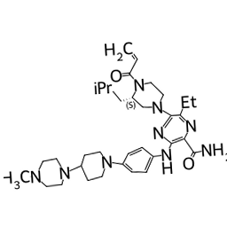 C=CC(=O)N1CCN(c2nc(Nc3ccc(N4CCC(N5CCN(C)CC5)CC4)cc3)c(C(N)=O)nc2CC)C[C@@H]1CC(C)C